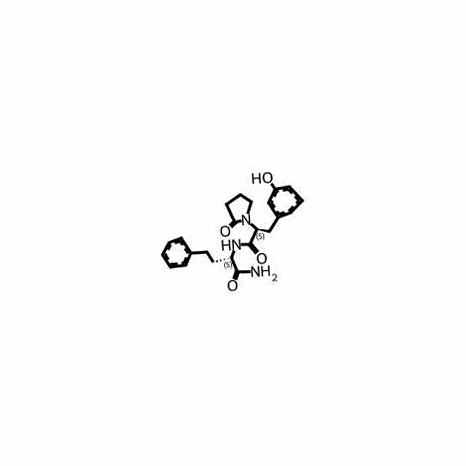 NC(=O)[C@H](CCc1ccccc1)NC(=O)[C@H](Cc1cccc(O)c1)N1CCCC1=O